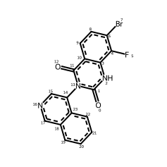 O=c1[nH]c2c(F)c(Br)ccc2c(=O)n1-c1cncc2ccccc12